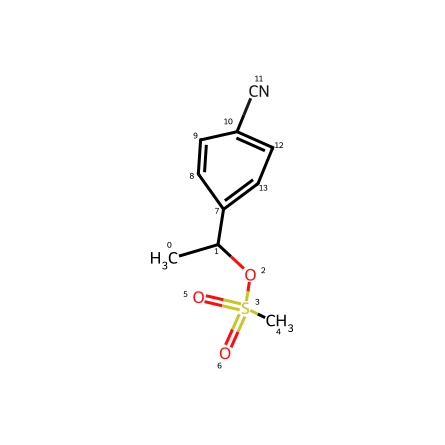 CC(OS(C)(=O)=O)c1ccc(C#N)cc1